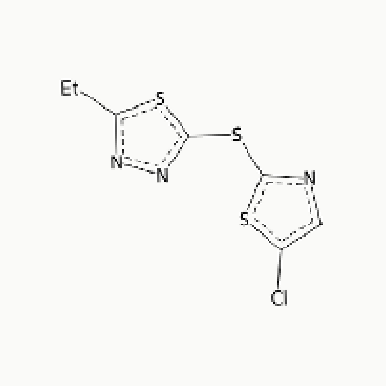 CCc1nnc(Sc2ncc(Cl)s2)s1